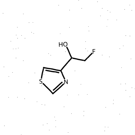 OC(CF)c1cscn1